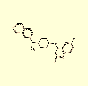 C[C@H](c1ccc2ccccc2c1)N1CCC(Nc2cc(=O)oc3ccc(Cl)cc23)CC1